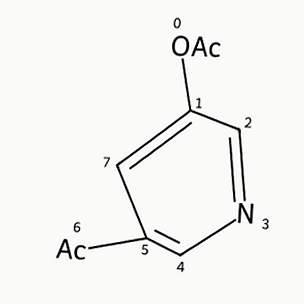 CC(=O)Oc1cncc(C(C)=O)c1